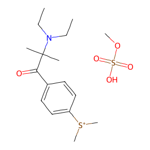 CCN(CC)C(C)(C)C(=O)c1ccc([S+](C)C)cc1.COS(=O)(=O)O